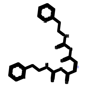 O=C(/C=C\C(=O)OC(=O)NCCc1ccccn1)OC(=O)NCCc1ccccn1